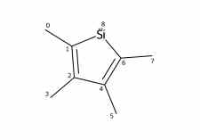 CC1=C(C)C(C)=C(C)[Si]1